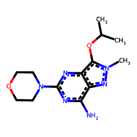 CC(C)Oc1c2nc(N3CCOCC3)nc(N)c2nn1C